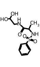 CC(NS(=O)(=O)c1ccccc1)C(=O)NCC(O)O